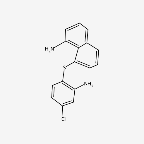 Nc1cc(Cl)ccc1Sc1cccc2cccc(N)c12